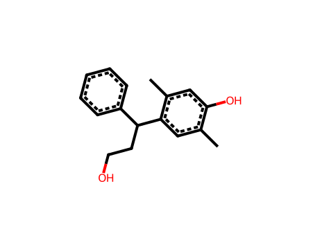 Cc1cc(C(CCO)c2ccccc2)c(C)cc1O